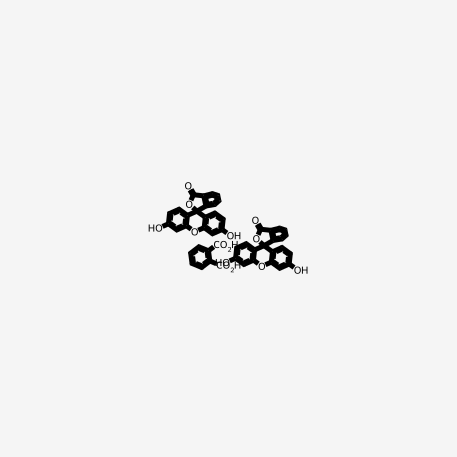 O=C(O)c1ccccc1C(=O)O.O=C1OC2(c3ccc(O)cc3Oc3cc(O)ccc32)c2ccccc21.O=C1OC2(c3ccc(O)cc3Oc3cc(O)ccc32)c2ccccc21